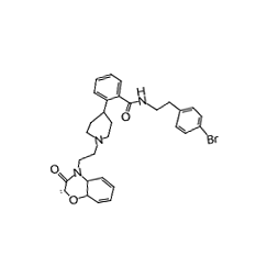 O=C(NCCc1ccc(Br)cc1)c1ccccc1C1CCN(CCN2C(=O)[C]OC3C=CC=CC32)CC1